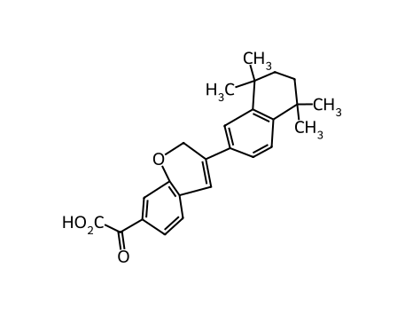 CC1(C)CCC(C)(C)c2cc(C3=Cc4ccc(C(=O)C(=O)O)cc4OC3)ccc21